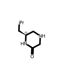 CC(C)C[C@H]1CNCC(=O)N1